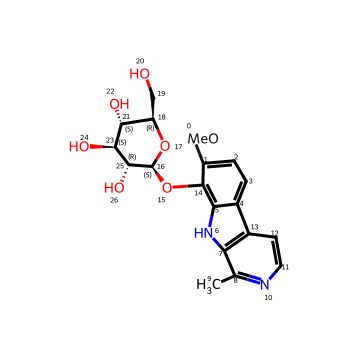 COc1ccc2c([nH]c3c(C)nccc32)c1O[C@@H]1O[C@H](CO)[C@@H](O)[C@H](O)[C@H]1O